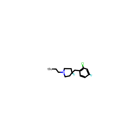 CC(C)(C)CCN1CCC(F)(Cc2ccc(F)cc2Cl)CC1